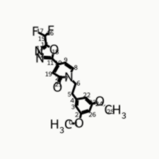 COc1cc(CCn2ccc(-c3nnc(C(F)F)o3)cc2=O)cc(OC)c1